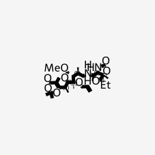 C=CCO[C@](C)(C[C@@H](C)CN[C@H](C)[C@H]1NC(=O)O[C@]1(C)[C@H](O)CC)[C@H](OCOC)[C@@H](C)C1=C(C)C(=O)OC(C)(C)O1